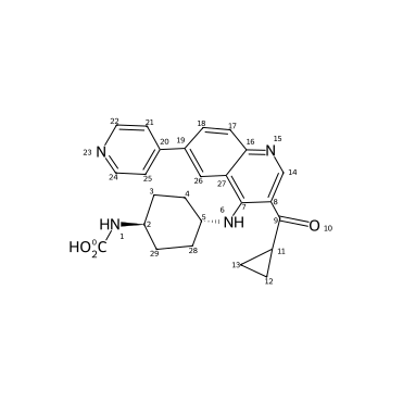 O=C(O)N[C@H]1CC[C@H](Nc2c(C(=O)C3CC3)cnc3ccc(-c4ccncc4)cc23)CC1